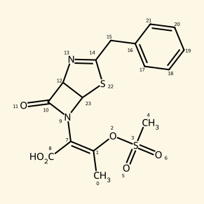 CC(OS(C)(=O)=O)=C(C(=O)O)N1C(=O)C2N=C(Cc3ccccc3)SC21